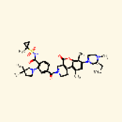 COC[C@H]1CN(c2cc(C)c3c4c(c(=O)oc3c2C)CN(C(=O)c2ccc(C(=O)NS(=O)(=O)C3(C)CC3)c(N3CCC(C)(C)C3)c2)CC4)CCN1C